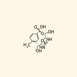 Cc1ccc(S(=O)(=O)O)cc1.N=[N+]=N.OCCOCCO